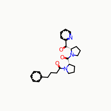 O=C(c1ccccn1)[C@@H]1CCCN1C(=O)[C@@H]1CCCN1C(=O)CCCc1ccccc1